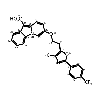 Cc1nc(-c2ccc(C(F)(F)F)cc2)oc1CCOc1ccc2c(C(=O)O)c3ccccc3n2c1